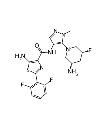 Cn1ncc(NC(=O)c2nc(-c3c(F)cccc3F)sc2N)c1N1C[C@H](N)C[C@H](F)C1